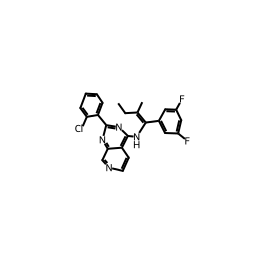 CC/C(C)=C(\Nc1nc(-c2ccccc2Cl)nc2cnccc12)c1cc(F)cc(F)c1